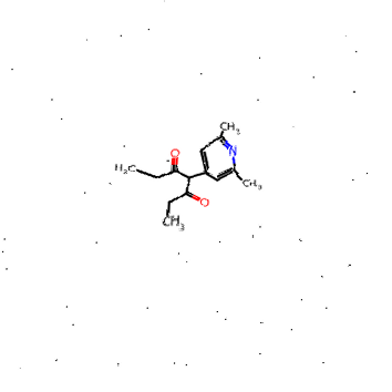 CCC(=O)C(C(=O)CC)c1cc(C)nc(C)c1